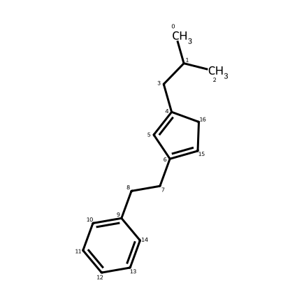 CC(C)CC1=CC(CCc2ccccc2)=CC1